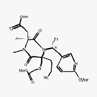 CC[C@H](c1ccc(OC)nc1)N1C(=O)[C@](C)(SC(=O)OC)N(C)C(=O)C1(CCC#N)SC(=O)OC